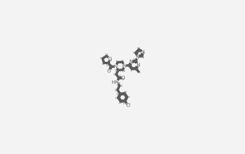 Cc1cc(N2CCN(C(=O)C3CCCO3)C(CC(=O)NCCc3ccc(Cl)cc3)C2)nc(-n2ccnc2)n1